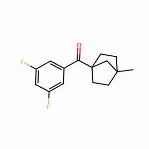 CC12CCC(C(=O)c3cc(F)cc(F)c3)(CC1)C2